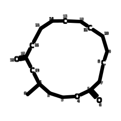 CC1CCOC(=O)CCCCCCCCCCC(=O)C1